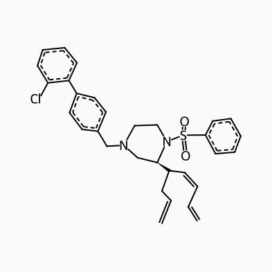 C=C/C=C\C(CC=C)[C@H]1CN(Cc2ccc(-c3ccccc3Cl)cc2)CCN1S(=O)(=O)c1ccccc1